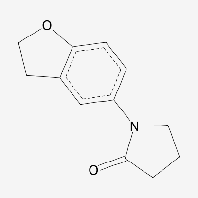 O=C1CCCN1c1ccc2c(c1)CCO2